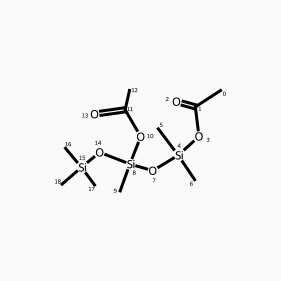 CC(=O)O[Si](C)(C)O[Si](C)(OC(C)=O)O[Si](C)(C)C